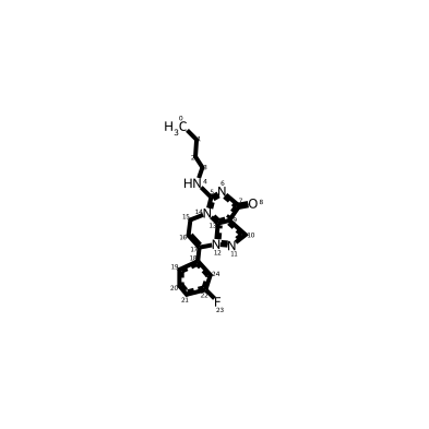 CCCCNc1nc(=O)c2cnn3c2n1CC=C3c1cccc(F)c1